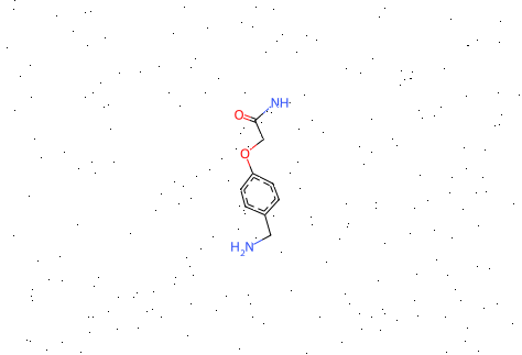 [NH]C(=O)COc1ccc(CN)cc1